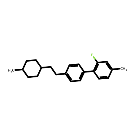 Cc1ccc(-c2ccc(CCC3CCC(C)CC3)cc2)c(F)c1